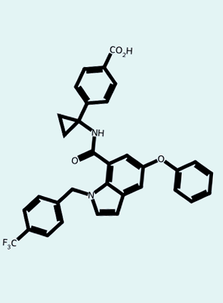 O=C(O)c1ccc(C2(NC(=O)c3cc(Oc4ccccc4)cc4ccn(Cc5ccc(C(F)(F)F)cc5)c34)CC2)cc1